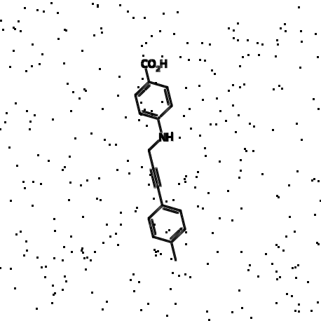 Cc1ccc(C#CCNc2ccc(C(=O)O)cc2)cc1